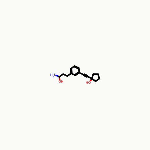 NC(O)CCc1cccc(C#CC2(O)CCCC2)c1